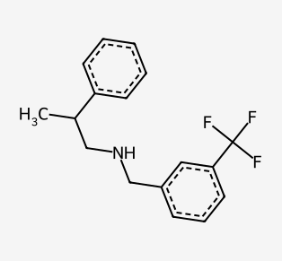 CC(CNCc1cccc(C(F)(F)F)c1)c1ccccc1